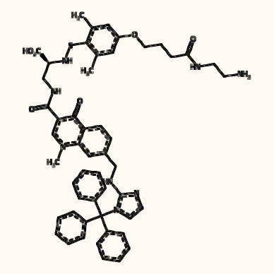 Cc1cc(OCCCC(=O)NCCN)cc(C)c1SN[C@@H](CNC(=O)c1cn(C)c2cc(CNc3nccn3C(c3ccccc3)(c3ccccc3)c3ccccc3)ccc2c1=O)C(=O)O